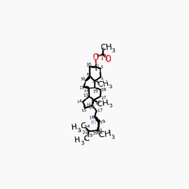 CC(=O)O[C@H]1CC[C@@]2(C)C(=CC=C3C4CC[C@H](C/C=C/[C@H](C)C(C)C)C4(C)CCC32)C1